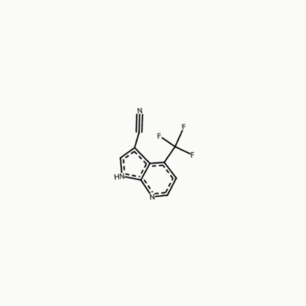 N#Cc1c[nH]c2nccc(C(F)(F)F)c12